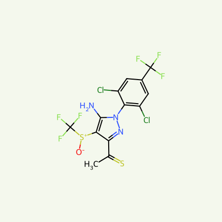 CC(=S)c1nn(-c2c(Cl)cc(C(F)(F)F)cc2Cl)c(N)c1[S+]([O-])C(F)(F)F